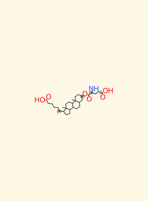 C[C@H](CCCCC(=O)O)C1CCC2C3CCC4C[C@H](OC(=O)[C@@H](N)CCC(=O)O)CCC4(C)C3CCC21C